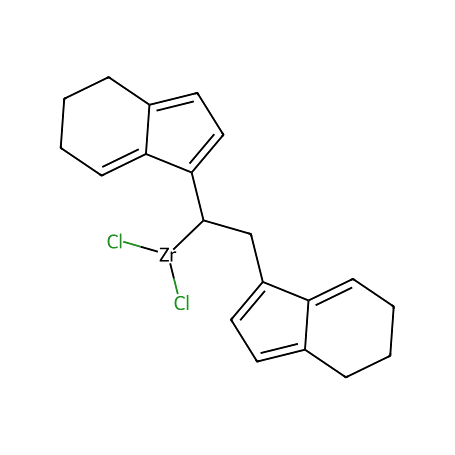 [Cl][Zr]([Cl])[CH](CC1=CC=C2CCCC=C21)C1=CC=C2CCCC=C21